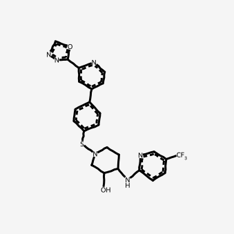 OC1CN(Sc2ccc(-c3ccnc(-c4nnco4)c3)cc2)CCC1Nc1ccc(C(F)(F)F)cn1